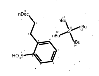 CCCCCCCCCCCCc1ccccc1S(=O)(=O)O.CCCCS(CCCC)(CCCC)CCCC